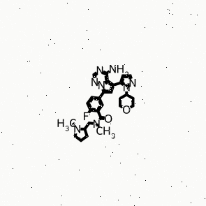 CN(CC1CCCN1C)C(=O)c1cc(-c2cc(-c3ccnn3C3CCOCC3)c3c(N)ncnn23)ccc1F